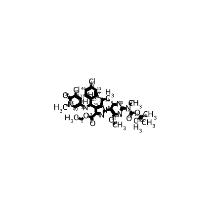 CCOC(=O)c1nn(-c2cnc(N(C)C(=O)OC(C)(C)C)nc2OC)c(C(C)C)c1C(Nc1cc(Cl)c(=O)n(C)c1)c1ccc(Cl)cc1